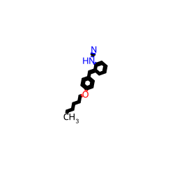 CCCCCCOc1ccc(C=C2CC=CC=C2NC#N)cc1